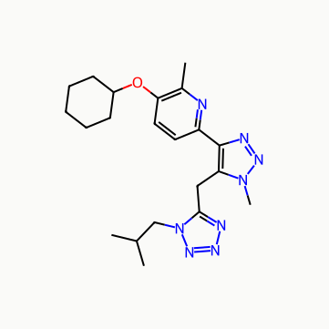 Cc1nc(-c2nnn(C)c2Cc2nnnn2CC(C)C)ccc1OC1CCCCC1